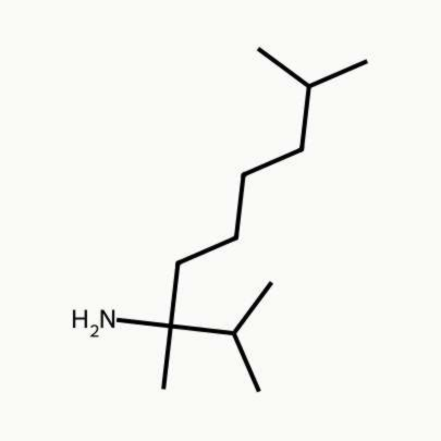 CC(C)CCCCC(C)(N)C(C)C